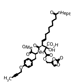 CC#CCOc1ccc(C[C@H](NC(=O)[C@@H](/C=C/CCCCCCC(=O)CCCCCCC)[C@@](O)(CC(=O)OCc2coc(=O)o2)C(=O)O)C(=O)OC)cc1